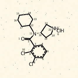 Cl.O=C(c1cccc(Cl)c1Cl)N(C1CCCCC1)[C@H]1CCNC1